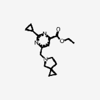 CCOC(=O)c1cc(CN2CCC3(CC3)C2)nc(C2CC2)n1